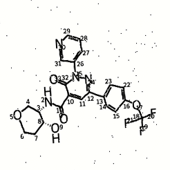 O=C(N[C@H]1COCC[C@H]1O)c1cc(-c2ccc(OC(F)(F)F)cc2)nn(-c2cccnc2)c1=O